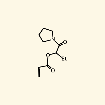 C=CC(=O)OC(CC)C(=O)N1CCCC1